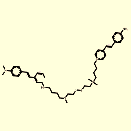 CN(CCCCNC/C=C(\C=C/I)/C=C/c1ccc(N(C)C)cc1)CCSSCC[N+](C)(C)CCCC[n+]1ccc(/C=C/c2ccc(N)cc2)cc1